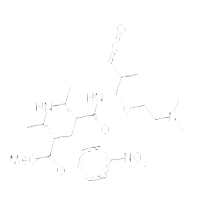 COC(=O)C1=C(C)NC(C)=C(C(=O)N[C@@H](OCCN(C)C)C(C)C=C=O)[C@@H]1c1cccc([N+](=O)[O-])c1